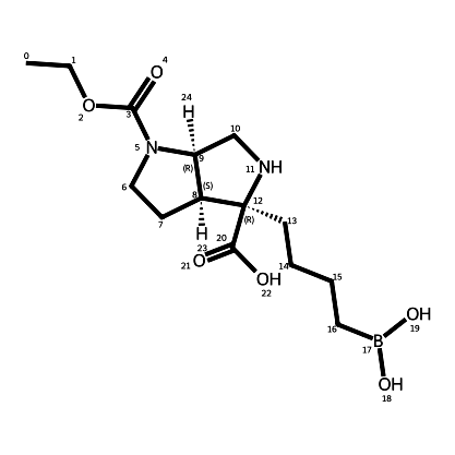 CCOC(=O)N1CC[C@H]2[C@@H]1CN[C@@]2(CCCCB(O)O)C(=O)O